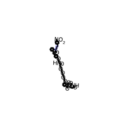 O=C(CCOCCOCCOCCOc1cccc2c1C(=O)N(C1CCC(=O)NC1=O)C2=O)NCCOc1ccc(CN2C(=O)/C(=C/C=C/c3ccc([N+](=O)[O-])cc3)c3ccccc32)cc1